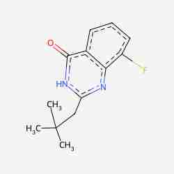 CC(C)(C)Cc1nc2c(F)cccc2c(=O)[nH]1